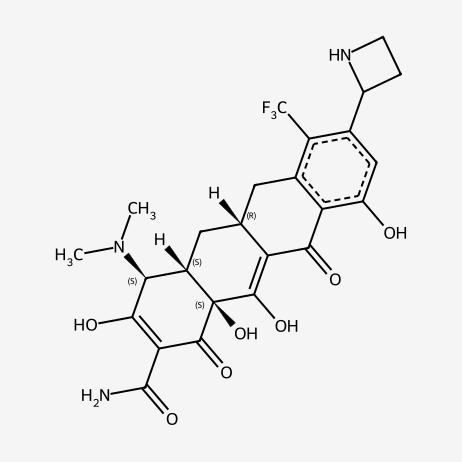 CN(C)[C@@H]1C(O)=C(C(N)=O)C(=O)[C@@]2(O)C(O)=C3C(=O)c4c(O)cc(C5CCN5)c(C(F)(F)F)c4C[C@H]3C[C@@H]12